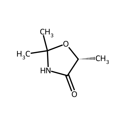 C[C@H]1OC(C)(C)NC1=O